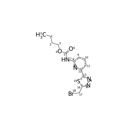 CCCCOC(=O)Nc1cccc(-c2nnc(CBr)s2)n1